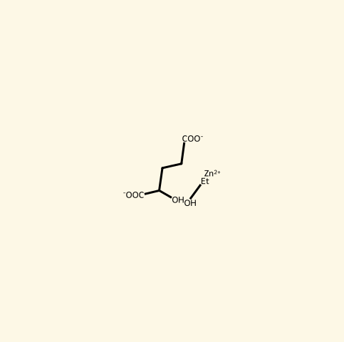 CCO.O=C([O-])CCC(O)C(=O)[O-].[Zn+2]